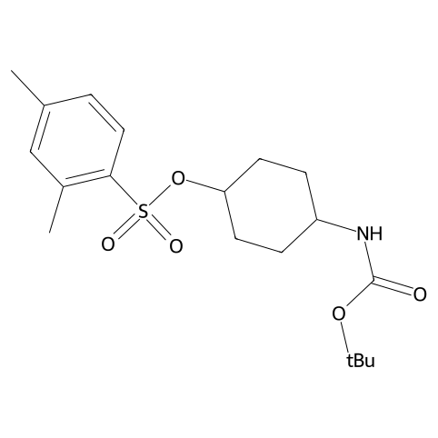 Cc1ccc(S(=O)(=O)OC2CCC(NC(=O)OC(C)(C)C)CC2)c(C)c1